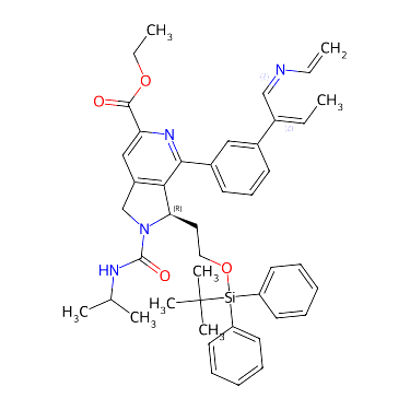 C=C/N=C\C(=C/C)c1cccc(-c2nc(C(=O)OCC)cc3c2[C@@H](CCO[Si](c2ccccc2)(c2ccccc2)C(C)(C)C)N(C(=O)NC(C)C)C3)c1